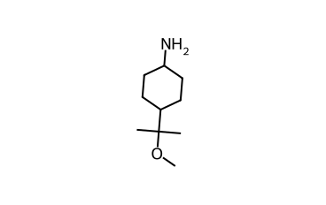 COC(C)(C)C1CCC(N)CC1